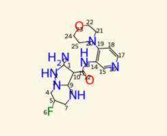 NC1NN2CC(F)CNC2C1C(=O)Nc1cnccc1N1CCOCC1